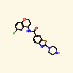 O=C(NC1CCOc2ccc(F)cc21)c1ccc2nc(N3CCNCC3)sc2c1